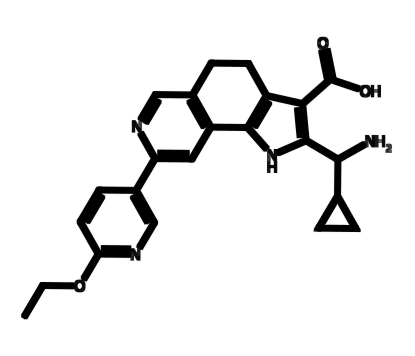 CCOc1ccc(-c2cc3c(cn2)CCc2c-3[nH]c(C(N)C3CC3)c2C(=O)O)cn1